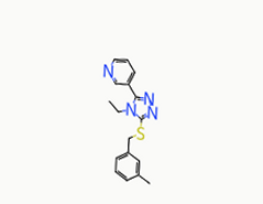 CCn1c(SCc2cccc(C)c2)nnc1-c1cccnc1